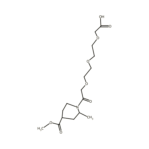 COC(=O)C1CCN(C(=O)COCCOCCOCC(=O)O)C(C)C1